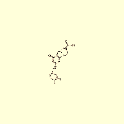 CC(C)C(=O)N1CCN2c3cc(OCc4ccc(F)c(F)c4)nc(=O)n3CC2C1